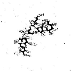 CO[C@H](OC[C@H](O)C(CO)O[C@H](CO)O[C@@H]1C(CO)O[C@@H](O[C@@H]2C(CO)O[C@@H](C)C(NC(C)=O)C2O)C(NC(C)=O)C1O)C(O[C@@H]1OC(CO)[C@@H](O[C@@H]2OC(CO)[C@H](O)C(O)C2O)C(O)C1NC(C)=O)C(O)[C@H](O)CCO